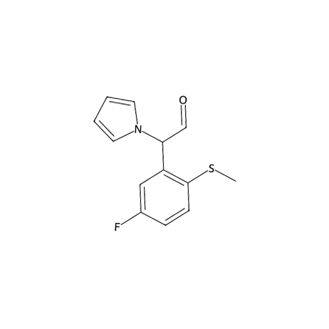 CSc1ccc(F)cc1C(C=O)n1cccc1